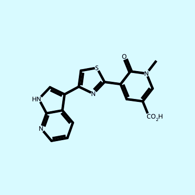 Cn1cc(C(=O)O)cc(-c2nc(-c3c[nH]c4ncccc34)cs2)c1=O